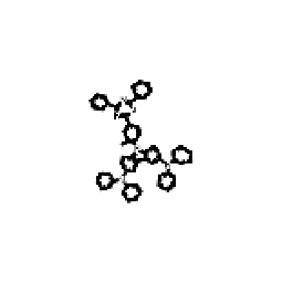 Cc1cc(-c2nc(-c3ccccc3)nc(-c3ccccc3)n2)ccc1-n1c2ccc(N(c3ccccc3)c3ccccc3)cc2c2cc(N(c3ccccc3)c3ccccc3)ccc21